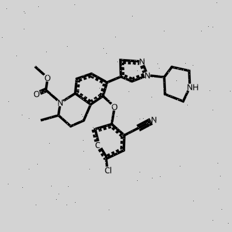 COC(=O)N1c2ccc(-c3cnn(C4CCNCC4)c3)c(Oc3ccc(Cl)cc3C#N)c2CCC1C